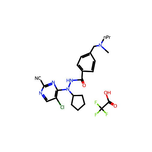 CCCN(C)Cc1ccc(C(=O)NN(c2nc(C#N)ncc2Cl)C2CCCC2)cc1.O=C(O)C(F)(F)F